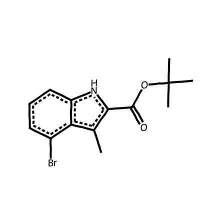 Cc1c(C(=O)OC(C)(C)C)[nH]c2cccc(Br)c12